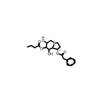 CCCC(=O)OC1C(O)CN2CC[C@H](OC(=O)Cc3ccccc3)C2C1O